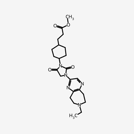 CCN1CCc2ncc(N3CC(=O)N(C4CCC(CCC(=O)OC)CC4)C3=O)nc2CC1